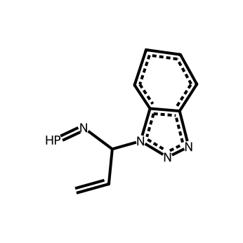 C=CC(N=P)n1nnc2ccccc21